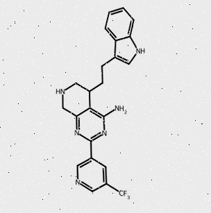 Nc1nc(-c2cncc(C(F)(F)F)c2)nc2c1C(CCc1c[nH]c3ccccc13)CNC2